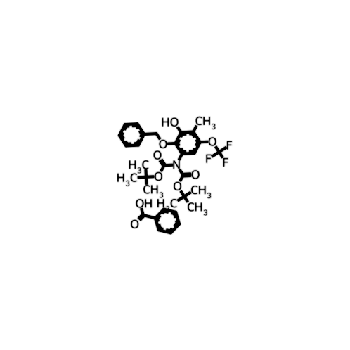 Cc1c(OC(F)(F)F)cc(N(C(=O)OC(C)(C)C)C(=O)OC(C)(C)C)c(OCc2ccccc2)c1O.O=C(O)c1ccccc1